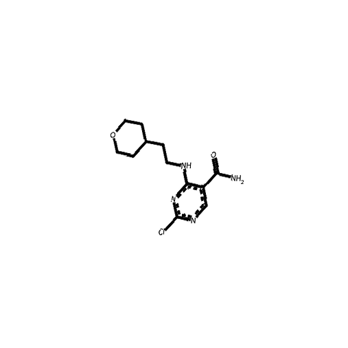 NC(=O)c1cnc(Cl)nc1NCCC1CCOCC1